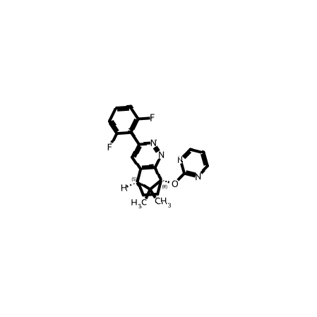 CC1(C)[C@H]2CC[C@]1(Oc1ncccn1)c1nnc(-c3c(F)cccc3F)cc12